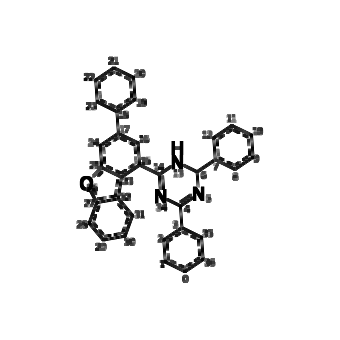 c1ccc(C2=NC(c3ccccc3)NC(c3cc(-c4ccccc4)cc4oc5ccccc5c34)=N2)cc1